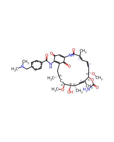 CO[C@H]1/C=C\C=C(/C)C(=O)NC2=CC(=O)C(NC(=O)c3ccc(CN(C)C)cc3)=C(C[C@@H](C)C[C@H](OC)[C@H](O)[C@@H](C)/C=C(\C)[C@@H]1OC(N)=O)C2=O